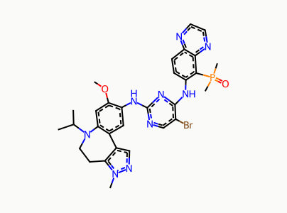 COc1cc2c(cc1Nc1ncc(Br)c(Nc3ccc4nccnc4c3P(C)(C)=O)n1)-c1cnn(C)c1CCN2C(C)C